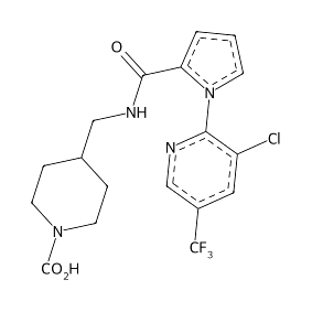 O=C(NCC1CCN(C(=O)O)CC1)c1cccn1-c1ncc(C(F)(F)F)cc1Cl